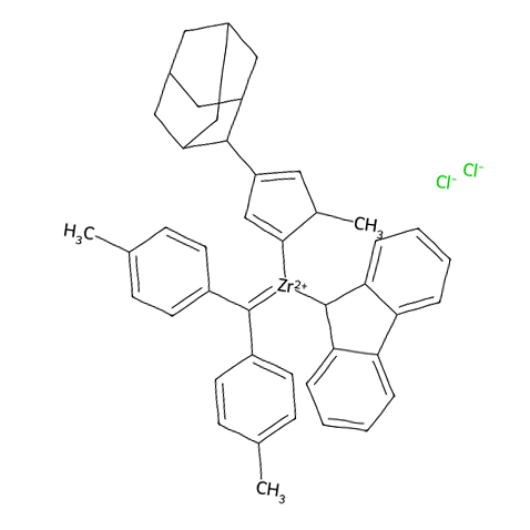 Cc1ccc([C](c2ccc(C)cc2)=[Zr+2]([C]2=CC(C3C4CC5CC(C4)CC3C5)=CC2C)[CH]2c3ccccc3-c3ccccc32)cc1.[Cl-].[Cl-]